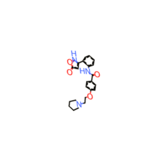 O=C(Nc1ccccc1-c1cc(=O)o[nH]1)c1ccc(OCCN2CCCCC2)cc1